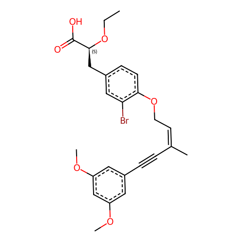 CCO[C@@H](Cc1ccc(OCC=C(C)C#Cc2cc(OC)cc(OC)c2)c(Br)c1)C(=O)O